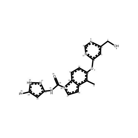 Cc1c(Oc2cc(CO)ncn2)ccc2c1ccn2C(=O)Nc1cc(C(C)C)[nH]n1